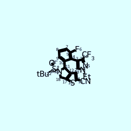 CCn1cc(-c2c(F)cccc2C2c3cc(C#N)sc3CN2[S@+]([O-])C(C)(C)C)c(C(F)(F)F)n1